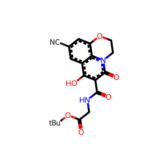 CC(C)(C)OC(=O)CNC(=O)c1c(O)c2cc(C#N)cc3c2n(c1=O)CCO3